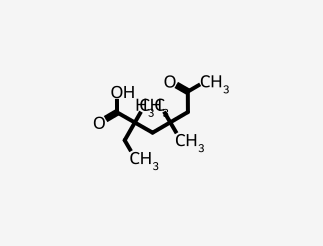 CCC(C)(CC(C)(C)CC(C)=O)C(=O)O